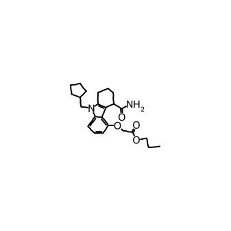 CCCOC(=O)COc1cccc2c1c1c(n2CC2CCCC2)CCCC1C(N)=O